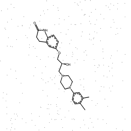 Cc1ccc(N2CCN(C[C@H](O)COc3ccc4c(c3)CCC(=O)N4)CC2)cc1C